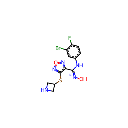 O/N=C(\Nc1ccc(F)c(Br)c1)c1nonc1SC1CNC1